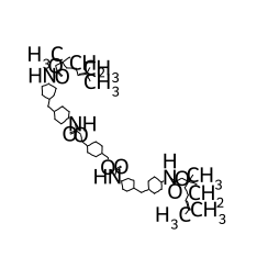 C=CC(C)(CCC=C(C)C)OC(=O)NC1CCC(CC2CCC(NC(=O)OCC3CCC(COC(=O)NC4CCC(CC5CCC(NC(=O)OC(C)(C=C)CCC=C(C)C)CC5)CC4)CC3)CC2)CC1